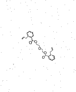 C=CCc1ccccc1C(=O)OCCOCCOC(=O)c1ccccc1CC=C